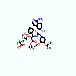 CCOc1cc([C@@H](Nc2ccc3c(N)nccc3c2)C(=O)NC(CC(=O)OC)c2ccccc2S(=O)(=O)C(C)C)ccc1OC(C)C.O=C(O)C(F)(F)F